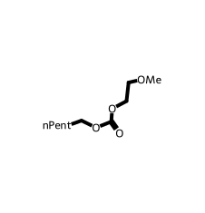 CCCCCCOC(=O)OCCOC